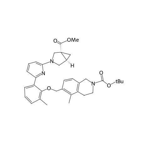 COC(=O)[C@]12C[C@H]1CN(c1cccc(-c3cccc(C)c3OCc3ccc4c(c3C)CCN(C(=O)OC(C)(C)C)C4)n1)C2